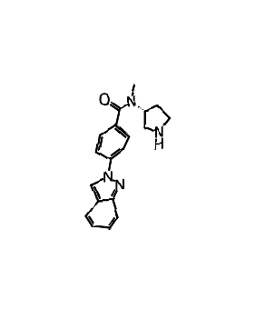 CN(C(=O)c1ccc(-n2cc3ccccc3n2)cc1)[C@@H]1CCNC1